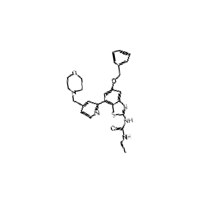 CCNC(=O)Nc1nc2cc(OCc3ccccc3)cc(-c3cc(CN4CCOCC4)ccn3)c2s1